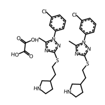 Cc1nc(SCCC2CCNC2)nn1-c1cccc(Cl)c1.Cc1nc(SCCC2CCNC2)nn1-c1cccc(Cl)c1.O=C(O)C(=O)O